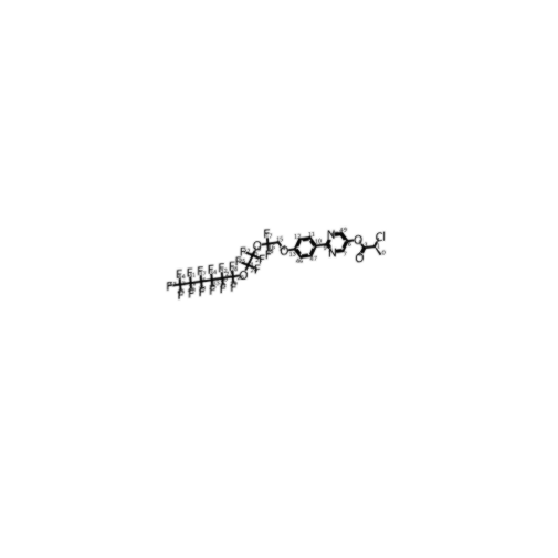 C[C@H](Cl)C(=O)Oc1cnc(-c2ccc(OCC(F)(F)OC(F)(F)C(F)(F)OC(F)(F)C(F)(F)C(F)(F)C(F)(F)C(F)(F)C(F)(F)F)cc2)nc1